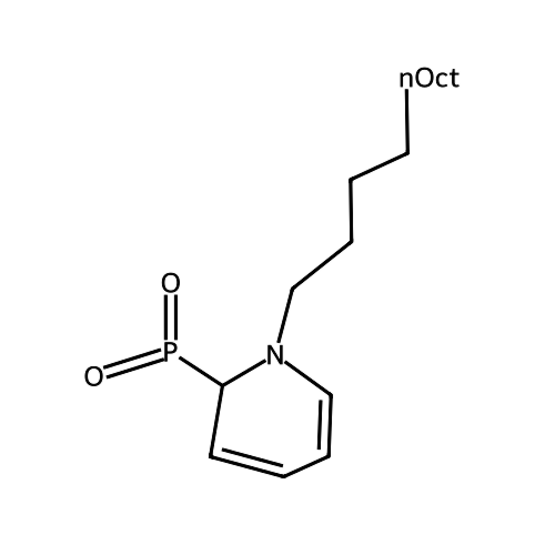 CCCCCCCCCCCCN1C=CC=CC1P(=O)=O